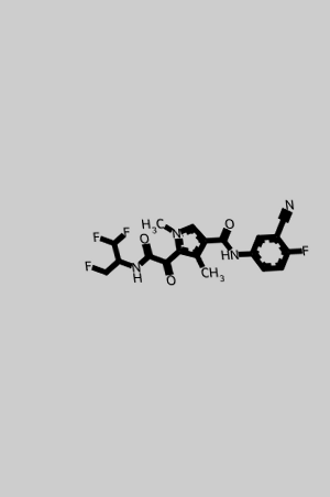 Cc1c(C(=O)Nc2ccc(F)c(C#N)c2)cn(C)c1C(=O)C(=O)NC(CF)C(F)F